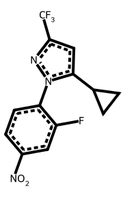 O=[N+]([O-])c1ccc(-n2nc(C(F)(F)F)cc2C2CC2)c(F)c1